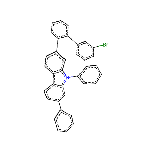 Brc1cccc(-c2ccccc2-c2ccc3c4ccc(-c5ccccc5)cc4n(-c4ccccc4)c3c2)c1